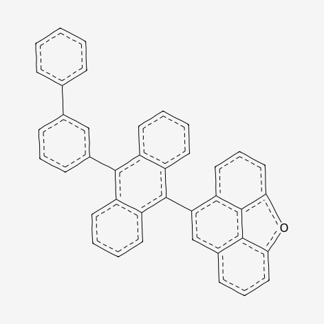 c1ccc(-c2cccc(-c3c4ccccc4c(-c4cc5cccc6oc7cccc4c7c56)c4ccccc34)c2)cc1